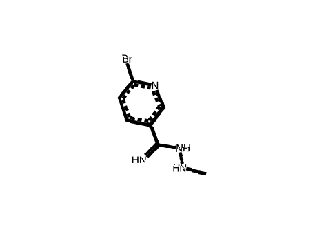 CNNC(=N)c1ccc(Br)nc1